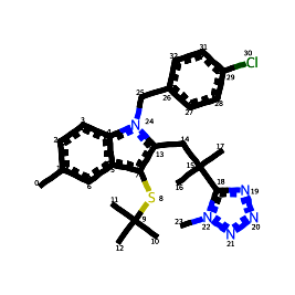 Cc1ccc2c(c1)c(SC(C)(C)C)c(CC(C)(C)c1nnnn1C)n2Cc1ccc(Cl)cc1